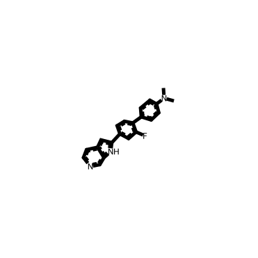 CN(C)c1ccc(-c2ccc(-c3cc4ccncc4[nH]3)cc2F)cc1